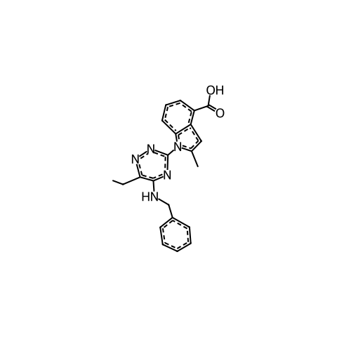 CCc1nnc(-n2c(C)cc3c(C(=O)O)cccc32)nc1NCc1ccccc1